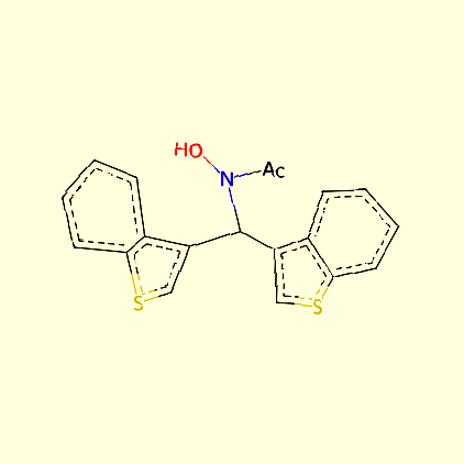 CC(=O)N(O)C(c1csc2ccccc12)c1csc2ccccc12